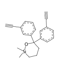 C#Cc1cccc(C2(c3cccc(C#C)c3)CCC[Si](C)(C)O2)c1